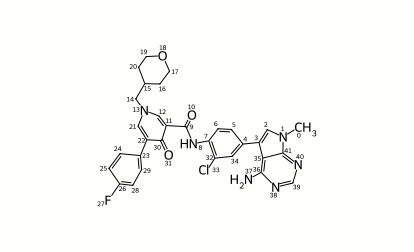 Cn1cc(-c2ccc(NC(=O)c3cn(CC4CCOCC4)cc(-c4ccc(F)cc4)c3=O)c(Cl)c2)c2c(N)ncnc21